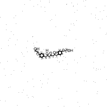 O=C(CC(O)Cc1ccc(OCCO)cc1)CC(O)Cc1ccc(OCCO)cc1